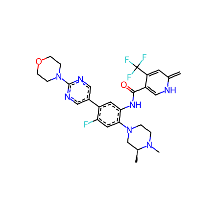 C=C1C=C(C(F)(F)F)C(C(=O)Nc2cc(-c3cnc(N4CCOCC4)nc3)c(F)cc2N2CCN(C)[C@@H](C)C2)=CN1